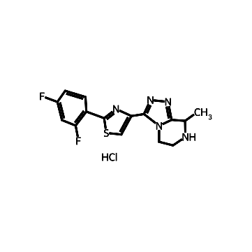 CC1NCCn2c(-c3csc(-c4ccc(F)cc4F)n3)nnc21.Cl